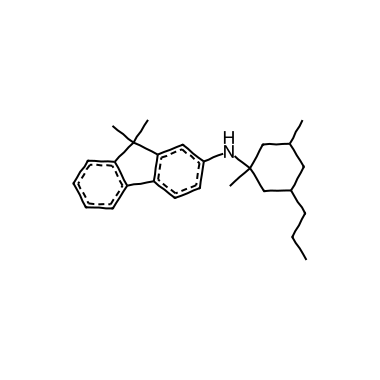 CCCC1CC(C)CC(C)(Nc2ccc3c(c2)C(C)(C)c2ccccc2-3)C1